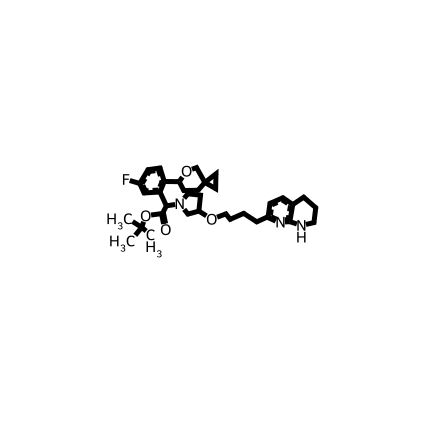 CC(C)(C)OC(=O)C(c1cc(F)ccc1C1CCC2(CC2)CO1)N1CCC(OCCCCc2ccc3c(n2)NCCC3)C1